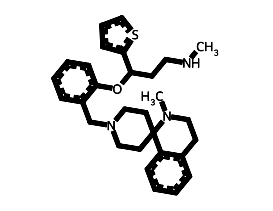 CNCCC(Oc1ccccc1CN1CCC2(CC1)c1ccccc1CCN2C)c1cccs1